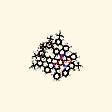 CC(C)(C)c1cc(-c2cc3c(c(-c4c(-c5cc(C(C)(C)C)cc(C(C)(C)C)c5)cccc4-c4cccc5oc6ccccc6c45)c2)Nc2cc(-n4c5ccccc5c5cc(C(C)(C)C)ccc54)cc4c2B3c2cc(-c3cc(C(C)(C)C)cc(C(C)(C)C)c3)cc(-c3c(-c5cc(C(C)(C)C)cc(C(C)(C)C)c5)cccc3-c3cccc5oc6ccccc6c35)c2N4)cc(C(C)(C)C)c1